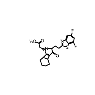 O=C(O)CN1NC(CCc2nc3cc(F)cc(F)c3s2)C(=O)C2=C1C1CCCCC21